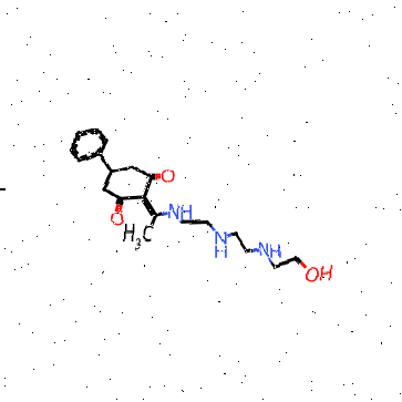 CC(NCCNCCNCCO)=C1C(=O)CC(c2ccccc2)CC1=O